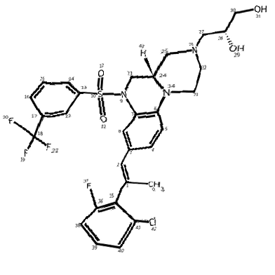 C/C(=C\c1ccc2c(c1)N(S(=O)(=O)c1cccc(C(F)(F)F)c1)C[C@@H]1CN(C[C@@H](O)CO)CCN21)c1c(F)cccc1Cl